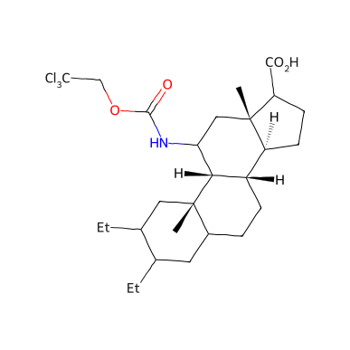 CCC1CC2CC[C@@H]3[C@@H](C(NC(=O)OCC(Cl)(Cl)Cl)C[C@]4(C)C(C(=O)O)CC[C@@H]34)[C@@]2(C)CC1CC